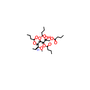 C/C=C(/OC)[C@H](OC(=O)CCC)[C@@H](OC(=O)CCC)[C@H](OC(=O)CCC)[C@H](O)COC(=O)CCC